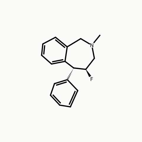 CN1Cc2ccccc2[C@@H](c2ccccc2)[C@H](F)C1